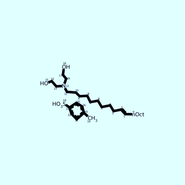 CCCCCCCCC=CCCCCCCCCCN(CCO)CCO.Cc1ccc(S(=O)(=O)O)cc1